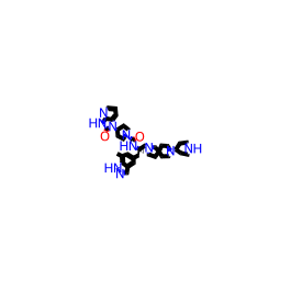 Cc1cc(C[C@H](CN2CCC3(CCN(C4CCNCC4)CC3)C2)NC(=O)N2CCC(n3c(=O)[nH]c4ncccc43)CC2)cc2cn[nH]c12